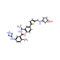 Cc1ccc(NC2CNC2)cc1C(=O)NC(C)c1cccc(-c2ccc(CN[C@H]3CC[C@@H](O)C3)s2)c1